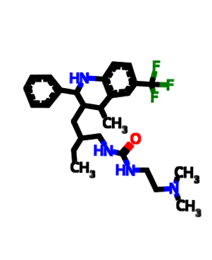 CCC(CNC(=O)NCCN(C)C)CC1C(C)c2cc(C(F)(F)F)ccc2NC1c1ccccc1